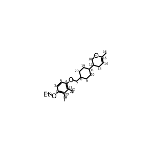 CCOc1ccc(OCC2CCC(C3CC=C(C)OC3)CC2)c(F)c1F